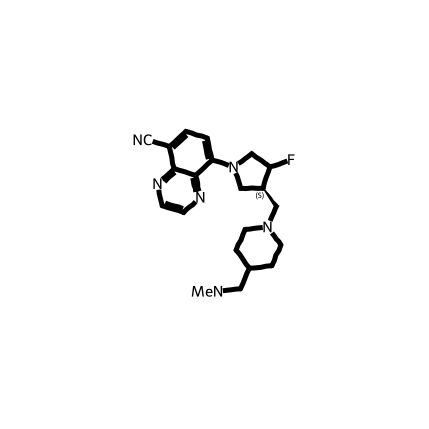 CNCC1CCN(C[C@H]2CN(c3ccc(C#N)c4nccnc34)CC2F)CC1